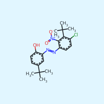 CC(C)(C)c1ccc(O)c(N=Nc2ccc(Cl)c(C(C)(C)C)c2[N+](=O)[O-])c1